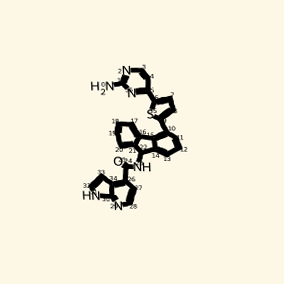 Nc1nccc(-c2ccc(-c3cccc4c3-c3ccccc3C4NC(=O)c3ccnc4[nH]ccc34)s2)n1